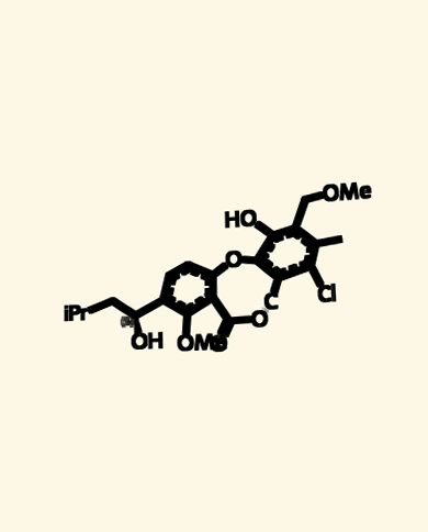 COCc1c(C)c(Cl)c2c(c1O)Oc1ccc([C@@H](O)CC(C)C)c(OC)c1C(=O)OC2